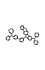 C1=CC(N(c2ccccc2)c2ccc(-c3cccc(-n4c5ccc(N(c6ccccc6)c6ccccc6)cc5c5cc6sc7ccccc7c6cc54)c3)cc2)=CCC1